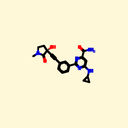 CN1CC[C@@](O)(C#Cc2cccc(-c3nc(NC4CC4)cc(C(N)=O)n3)c2)C1=O